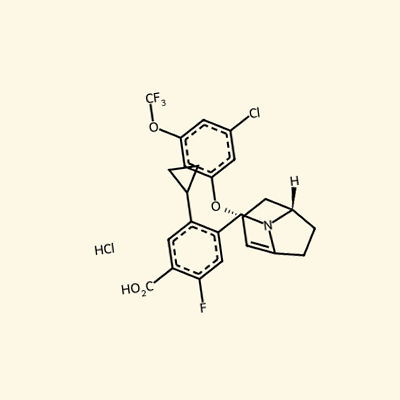 Cl.O=C(O)c1cc(C2CC2)c(CN2C3=C[C@H](Oc4cc(Cl)cc(OC(F)(F)F)c4)C[C@@H]2CC3)cc1F